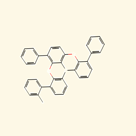 Cc1ccccc1-c1cccc2c1Oc1c(-c3ccccc3)ccc3c1B2c1cccc(-c2ccccc2)c1O3